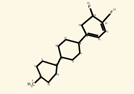 CC1CCC(C2CCC(C3=CC=C(F)C(F)C3)CC2)CC1